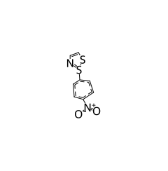 O=[N+]([O-])c1ccc(S2=NC=CS2)cc1